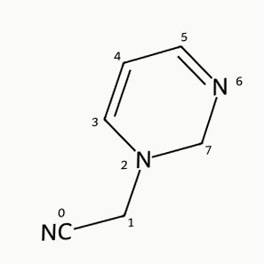 N#CCN1C=CC=NC1